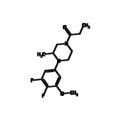 CCC(=O)N1CCN(c2cc(F)c(F)c(OC)c2)C(C)C1